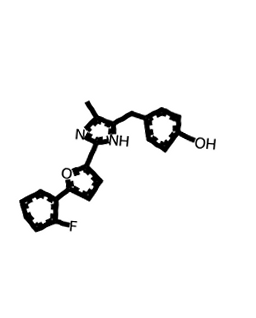 Cc1nc(-c2ccc(-c3ccccc3F)o2)[nH]c1Cc1ccc(O)cc1